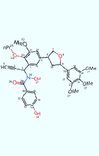 C#CC(c1cc(C2COC(c3cc(OC)c(OC)c(OC)c3)C2)cc(OC)c1OCCC)N(O)C(=O)c1ccc(O)cc1